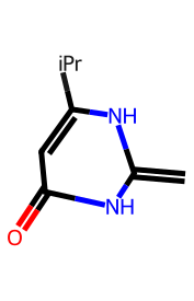 C=C1NC(=O)C=C(C(C)C)N1